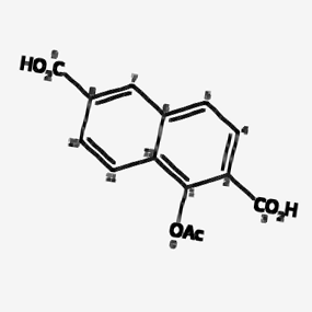 CC(=O)Oc1c(C(=O)O)ccc2cc(C(=O)O)ccc12